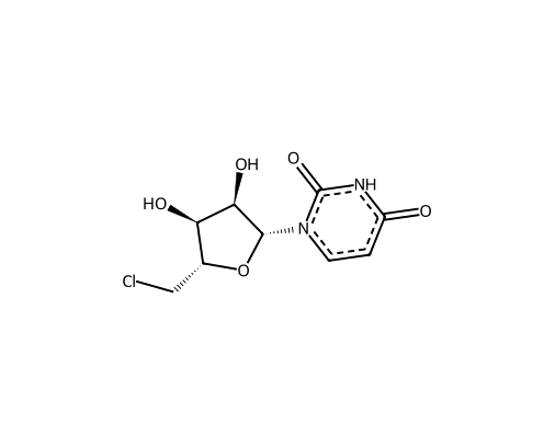 O=c1ccn([C@@H]2O[C@H](CCl)[C@@H](O)[C@H]2O)c(=O)[nH]1